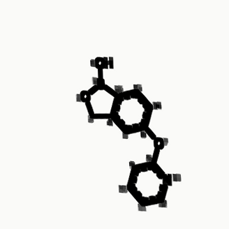 OB1OCc2cc(Oc3ccccn3)ccc21